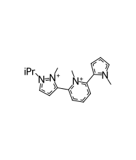 CC(C)n1ccc(-c2cccc(-c3cccn3C)[n+]2C)[n+]1C